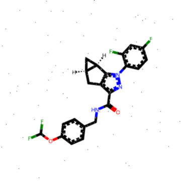 O=C(NCc1ccc(OC(F)F)cc1)c1nn(-c2ccc(F)cc2F)c2c1C[C@H]1C[C@@H]21